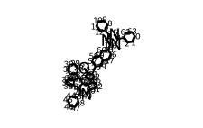 c1ccc(-c2nc(-c3ccccc3)nc(-c3ccc4cc(-c5cccc6c5Oc5ccccc5C65c6ccccc6-c6c(-c7ccccc7)nc7ccccc7c65)ccc4c3)n2)cc1